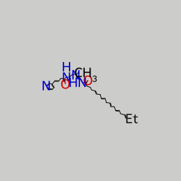 CCC=CCC=CCC=CCC=CCC=CCCCC(=O)NCCN(C)CCNC(=O)CC=Cc1cccnc1